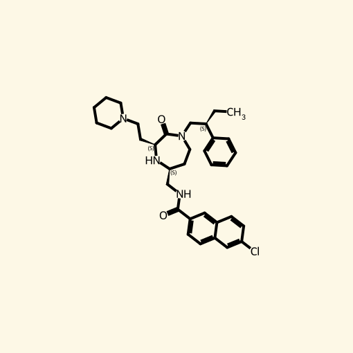 CC[C@H](CN1CC[C@@H](CNC(=O)c2ccc3cc(Cl)ccc3c2)N[C@@H](CCN2CCCCC2)C1=O)c1ccccc1